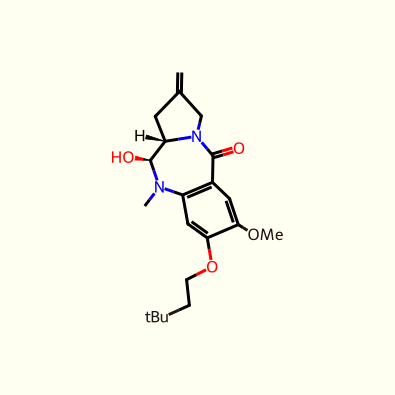 C=C1C[C@H]2[C@H](O)N(C)c3cc(OCCC(C)(C)C)c(OC)cc3C(=O)N2C1